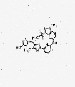 Cc1nn(-c2ccnc(Nc3ccc4c(c3)c(S(C)(=O)=O)nn4C)n2)cc1CN1CC(O)CO1